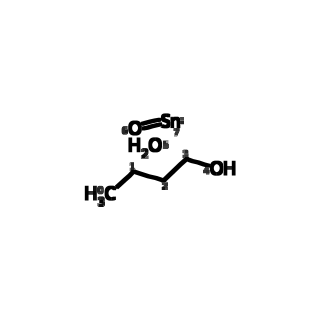 CCCCO.O.[O]=[Sn]